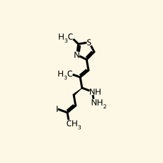 C/C(I)=C/C[C@H](NN)/C(C)=C/c1csc(C)n1